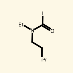 CCN(CCC(C)C)C(=O)I